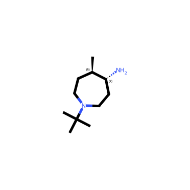 C[C@@H]1CCN(C(C)(C)C)CC[C@H]1N